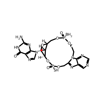 BP1(=O)OCCn2c(nc3cncnc32)COP(=O)(S)O[C@@H]2[C@H](F)[C@@H](CO1)O[C@H]2n1cnc2c(=O)[nH]c(N)nc21